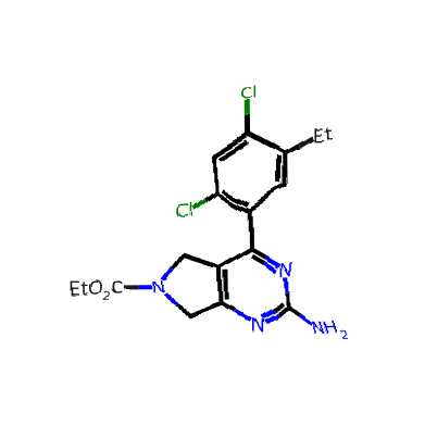 CCOC(=O)N1Cc2nc(N)nc(-c3cc(CC)c(Cl)cc3Cl)c2C1